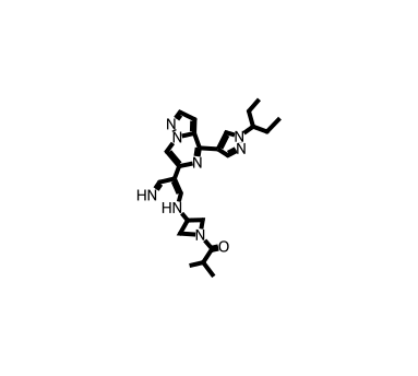 CCC(CC)n1cc(-c2nc(/C(C=N)=C/NC3CN(C(=O)C(C)C)C3)cn3nccc23)cn1